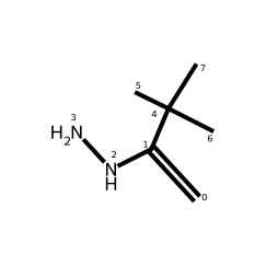 C=C(NN)C(C)(C)C